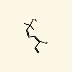 C=C/C(S)=C\C=C/C(C)(C)P